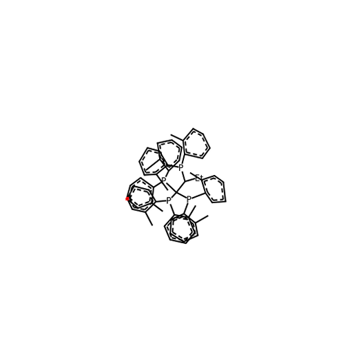 CCC(P(c1ccccc1C)c1ccccc1C)C(P(c1ccccc1C)c1ccccc1C)(P(c1ccccc1C)c1ccccc1C)P(c1ccccc1C)c1ccccc1C